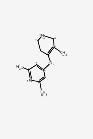 CC1=C(Oc2cc(C)nc(C)c2)CCNC1